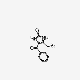 O=C(c1ccccc1)c1[nH]c(=O)[nH]c1CBr